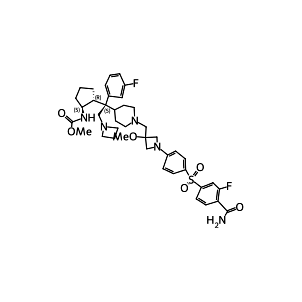 COC(=O)N[C@H]1CCC[C@@H]1[C@](CN1CCC1)(c1cccc(F)c1)C1CCN(CC2(OC)CN(c3ccc(S(=O)(=O)c4ccc(C(N)=O)c(F)c4)cc3)C2)CC1